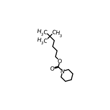 CC(C)(C)CCCCOC(=O)N1CCCCC1